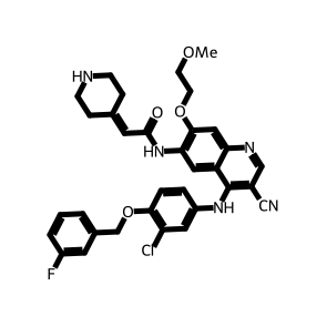 COCCOc1cc2ncc(C#N)c(Nc3ccc(OCc4cccc(F)c4)c(Cl)c3)c2cc1NC(=O)C=C1CCNCC1